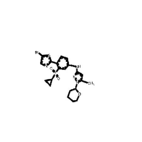 Cc1cc(Nc2ccc(-c3ncc(Br)s3)c(S(=O)(=O)C3CC3)c2)nn1C1CCCCO1